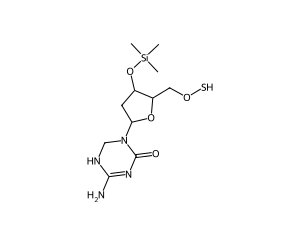 C[Si](C)(C)OC1CC(N2CNC(N)=NC2=O)OC1COS